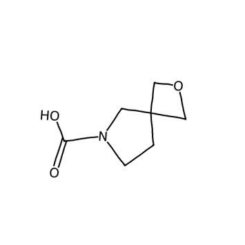 O=C(O)N1CCC2(COC2)C1